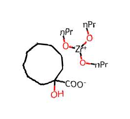 CCC[O][Zr+]([O]CCC)[O]CCC.O=C([O-])C1(O)CCCCCCCC1